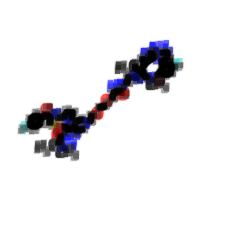 CN[C@H](C)C(=O)N[C@@H](C(=O)N1CCC[C@@H]1C1=NC(C(=O)c2ccc(F)cc2)CS1)C1CCN(CCOCCOCCC(=O)NCCn2nc3c(c2C)-c2cnc(N)c(c2)N2CCC[C@@H]2c2cc(F)ccc2C(=O)N(C)C3)CC1